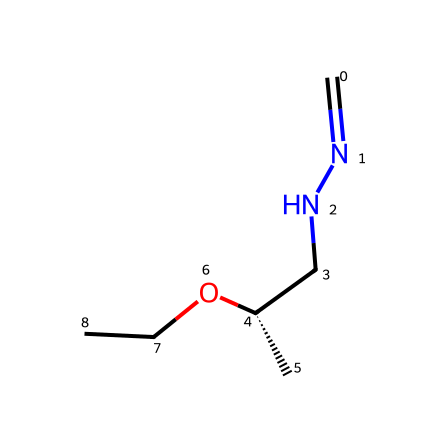 C=NNC[C@H](C)OCC